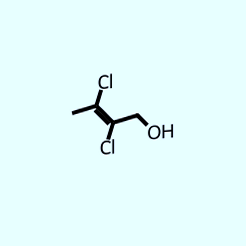 CC(Cl)=C(Cl)CO